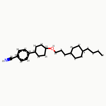 CCCCC1CCC(CCCOC2CCC(c3ccc(C#N)cc3)CC2)CC1